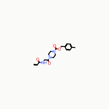 C=CC(=O)NCC(=O)N1CCN(C(=O)OCc2ccc(C)cc2)CC1